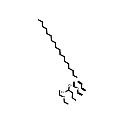 C=CC=C.C=COC=C.CCCC(O)O.CCCCCCCCCCCCCCCCCC.CCOCC